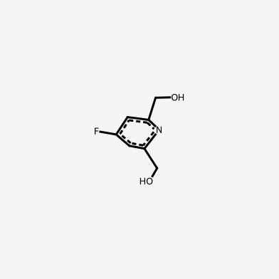 OCc1cc(F)cc(CO)n1